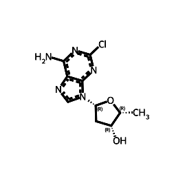 C[C@H]1O[C@@H](n2cnc3c(N)nc(Cl)nc32)C[C@H]1O